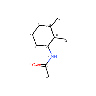 CC(=O)NC1CCCC(C)C1C